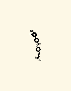 N#CC(F)=CC=C[C@H]1CC[C@H](OC(=O)[C@H]2CC[C@H](c3ccc(C#N)c(F)c3)CC2)CC1